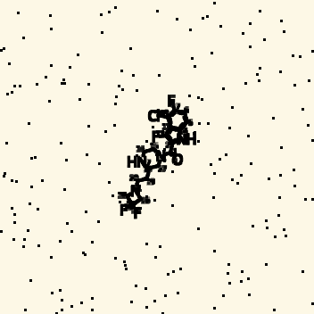 O=C(c1[nH]c2ccc(F)c(Cl)c2c1F)N1CCNC(CCN2CC(F)(F)C2)C1